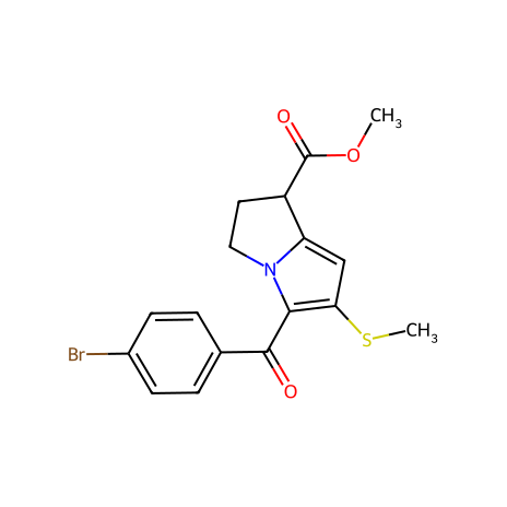 COC(=O)C1CCn2c1cc(SC)c2C(=O)c1ccc(Br)cc1